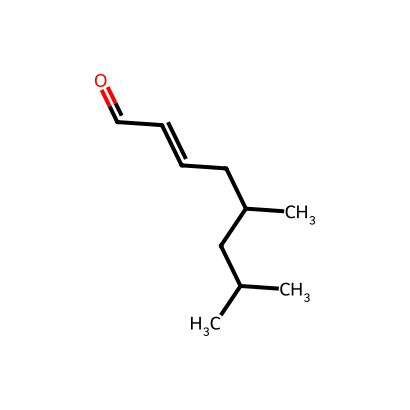 CC(C)CC(C)C/C=C/C=O